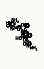 Nc1ccn([C@H]2C[C@@H](OP(=O)(OC[C@H]3O[C@@H](n4cnc5c(=O)[nH]c(N)nc54)C[C@H]3O)N(Cc3ccccc3)Cc3ccccc3)[C@@H](CO)O2)c(=O)n1